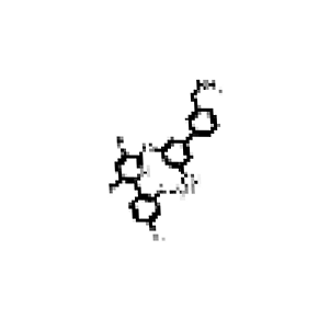 CCc1ccc(-c2nc(Oc3cc(C#N)cc(-c4cccc(CN)c4)c3)c(F)cc2F)c(C(=O)O)c1